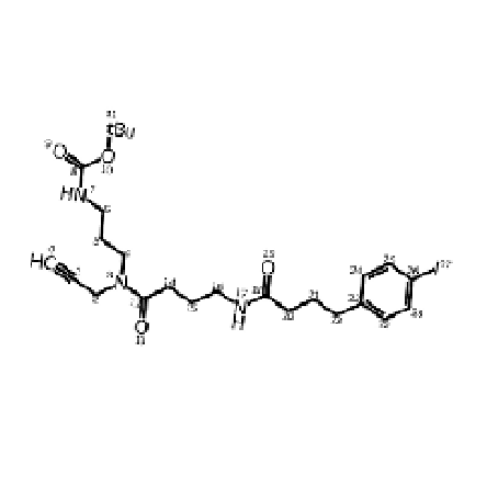 C#CCN(CCCNC(=O)OC(C)(C)C)C(=O)CCCNC(=O)CCCc1ccc(I)cc1